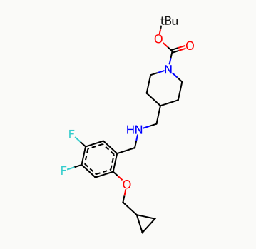 CC(C)(C)OC(=O)N1CCC(CNCc2cc(F)c(F)cc2OCC2CC2)CC1